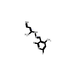 Cc1cc(F)nc(F)c1/C=N/N/C(N)=C/C=N